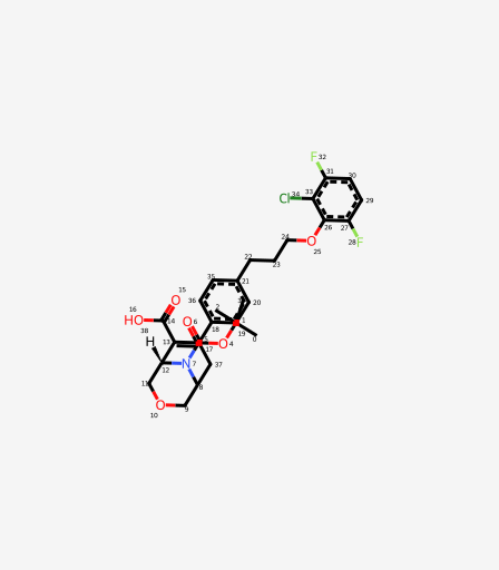 CC(C)(C)OC(=O)N1C2COC[C@@H]1C(C(=O)O)=C(c1ccc(CCCOc3c(F)ccc(F)c3Cl)cc1)C2